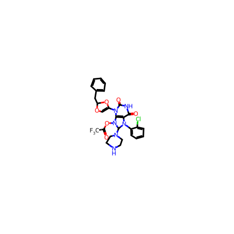 O=C(ON1c2c(c(=O)[nH]c(=O)n2C2=COC(Cc3ccccc3)O2)N(c2ccccc2Cl)C1N1CCNCC1)C(F)(F)F